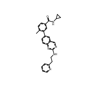 Cc1ccc(C(=O)NC2CC2)cc1-c1ccc2nc(NCCc3ccccn3)ncc2c1